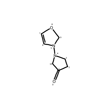 O=C1CCN(N2C=COC2)C1